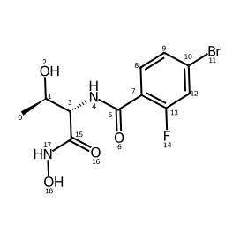 C[C@@H](O)[C@H](NC(=O)c1ccc(Br)cc1F)C(=O)NO